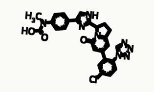 CN(C(=O)O)c1ccc(-c2c[nH]c(C3CCc4cc(-c5cc(Cl)ccc5-n5cnnn5)cc(=O)n43)n2)cc1